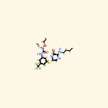 CCCCNc1ncc(Sc2cc(NC(=O)N(OCC)SC)cc(C(F)(F)F)c2)nc1Br